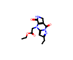 CCOC(=O)Cn1c2c(c(=O)n3nc(CC)cc13)CNC2=O